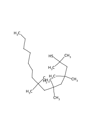 CCCCCCCC(C)(C)CC(C)(C)CC(C)(C)CC(C)(C)S